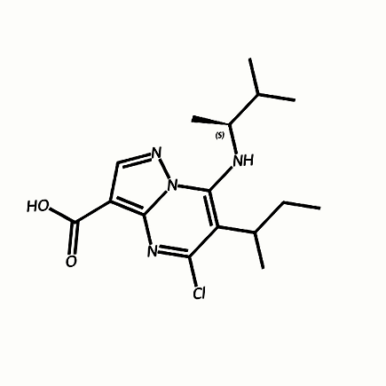 CCC(C)c1c(Cl)nc2c(C(=O)O)cnn2c1N[C@@H](C)C(C)C